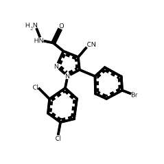 N#Cc1c(C(=O)NN)nn(-c2ccc(Cl)cc2Cl)c1-c1ccc(Br)cc1